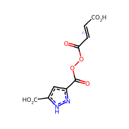 O=C(O)/C=C/C(=O)OOC(=O)c1cc(C(=O)O)[nH]n1